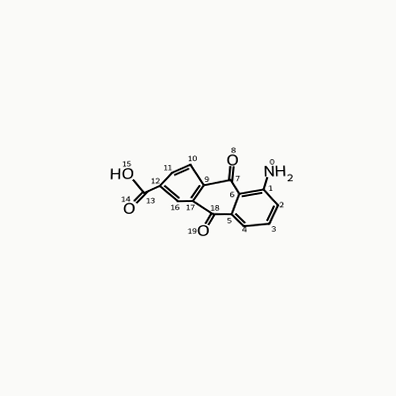 Nc1cccc2c1C(=O)c1ccc(C(=O)O)cc1C2=O